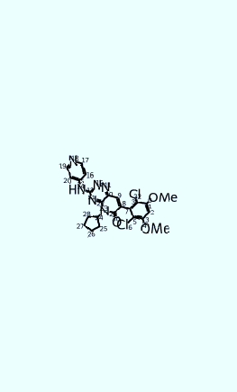 COc1cc(OC)c(Cl)c(-c2cc3nnc(Nc4ccncc4)nc3n(C3CCCC3)c2=O)c1Cl